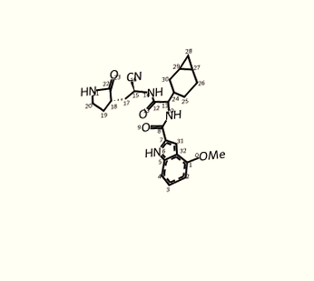 COc1cccc2[nH]c(C(=O)NC(C(=O)N[C@H](C#N)C[C@@H]3CCNC3=O)C3CCC4CC4C3)cc12